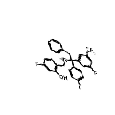 Oc1cc(F)ccc1CNC(Cc1ccccc1)(c1ccc(F)cc1)c1cc(F)cc(C(F)(F)F)c1